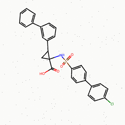 O=C(O)C1(NS(=O)(=O)c2ccc(-c3ccc(Cl)cc3)cc2)CC1c1cccc(-c2ccccc2)c1